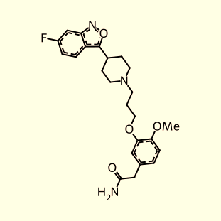 COc1ccc(CC(N)=O)cc1OCCCN1CCC(c2onc3cc(F)ccc23)CC1